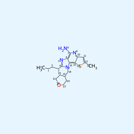 CCCCc1nc2c(N)nc3cc(C)sc3c2n1CC1CCOCC1